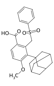 COc1ccc(C(=O)O)c(CS(=O)(=O)c2ccccc2)c1C12CC3CC(CC(C3)C1)C2